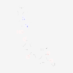 COc1ccc(/C=C/C(=O)c2ccc(OCC(O)CN3CCN(c4ccccc4)CC3)cc2)cc1OC